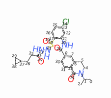 CC(C)N1CCc2cc(CNc3cc(Cl)ccc3S(=O)(=O)NNC(=O)CCC3CC3)ccc2C1=O